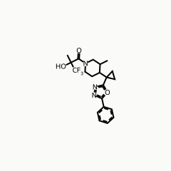 CC1CN(C(=O)C(C)(O)C(F)(F)F)CCC1C1(c2nnc(-c3ccccc3)o2)CC1